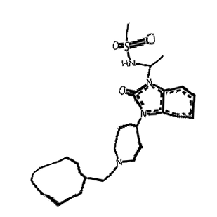 CC(NS(C)(=O)=O)n1c(=O)n(C2CCN(CC3CCCCCCC3)CC2)c2ccccc21